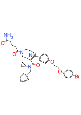 NC(=O)CCCC(=O)N1CC2CC(c3ccc(OCCOc4ccc(Br)cc4)cc3)=C(C(=O)N(Cc3ccccc3)C3CC3)C(C1)N2